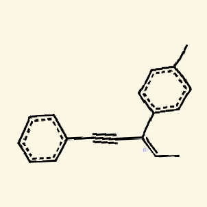 C/C=C(/C#Cc1ccccc1)c1ccc(C)cc1